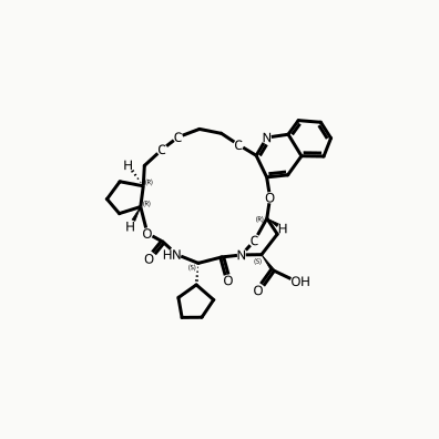 O=C1N[C@@H](C2CCCC2)C(=O)N2C[C@@H](C[C@H]2C(=O)O)Oc2cc3ccccc3nc2CCCCCC[C@@H]2CCC[C@H]2O1